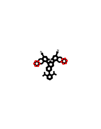 CC(C)c1cccc(C(C)C)c1-c1ccc2c(c1)cc1c3c4c(c(C#N)cc3n3c5cc(C#N)c6c(c5c2c13)C1c2ccccc2C6c2ccccc21)C1c2ccccc2C4c2ccccc21